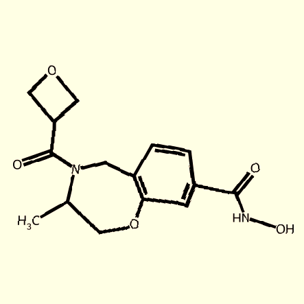 CC1COc2cc(C(=O)NO)ccc2CN1C(=O)C1COC1